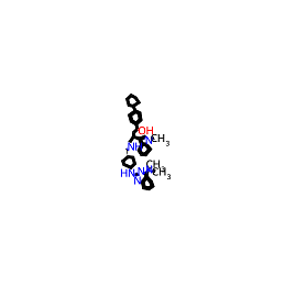 CN(C)c1nc(N[C@H]2CC[C@@H](CNCC(CC(O)c3ccc(C4CCCCC4)cc3)c3cn(C)c4ccccc34)CC2)nc2ccccc12